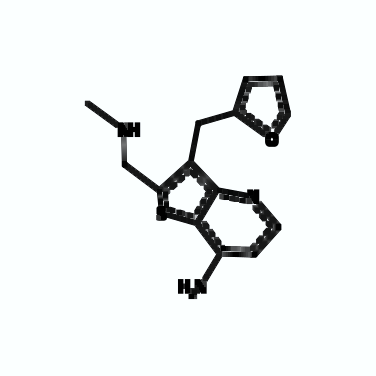 CNCc1sc2c(N)ccnc2c1Cc1ccco1